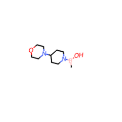 CB(O)N1CCC(N2CCOCC2)CC1